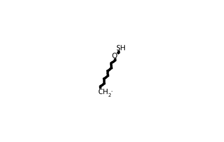 [CH2]CCCCCCCCOCS